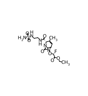 CCOC(=O)[C@@H](F)ON1C(=O)N2CC1C=C(C)[C@H]2C(=O)NCCNS(N)(=O)=O